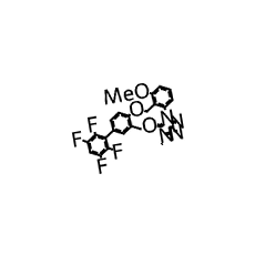 COc1cccc(-n2nnn(C)c2=O)c1COc1ccc(-c2c(F)c(F)cc(F)c2F)cc1C